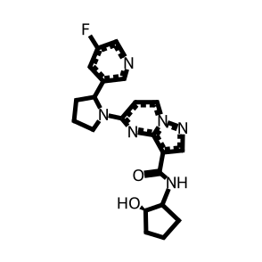 O=C(NC1CCC[C@H]1O)c1cnn2ccc(N3CCCC3c3cncc(F)c3)nc12